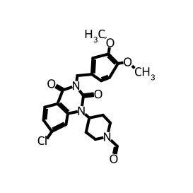 COc1ccc(Cn2c(=O)c3ccc(Cl)cc3n(C3CCN(C=O)CC3)c2=O)cc1OC